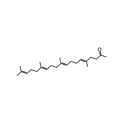 CC(=O)CC/C(C)=C/CC/C=C(\C)CC/C=C(\C)CCC=C(C)C